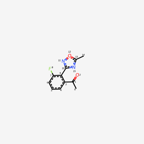 CC(=O)c1cccc(F)c1-c1noc(C)n1